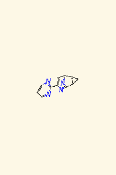 [c]1c(-c2ncccn2)nc2nc1C1CC21